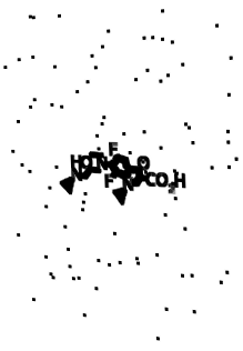 O=C(O)c1cn(C2CC2)c2c(F)c(N3CCOC(CNC4CC4)C3)c(F)cc2c1=O